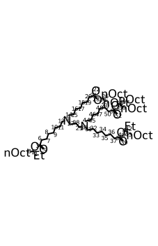 CCCCCCCCC(CC)OC(=O)CCCCCCCN(CCCCCCCC(=O)OC(CCCCCCCC)CCCCCCCC)CCCN(CCCCCCCC(=O)OC(CC)CCCCCCCC)CCCCCCCC(=O)OC(CCCCCCCC)CCCCCCCC